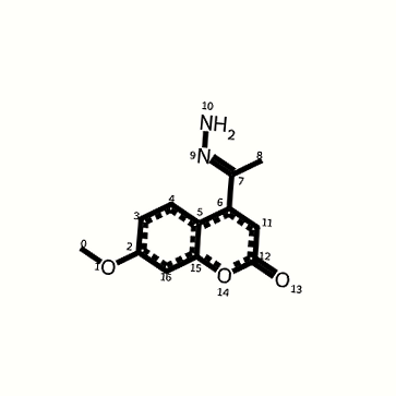 COc1ccc2c(C(C)=NN)cc(=O)oc2c1